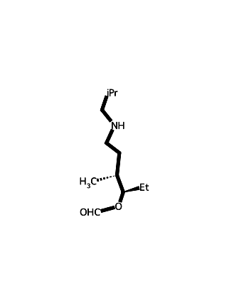 CC[C@@H](OC=O)[C@H](C)CCNCC(C)C